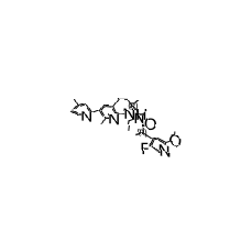 CCN(C[C@@]1(C)CCc2cc(-c3cc(C)ccn3)c(C)nc2N1)C(=O)[C@H](C)c1cc(OC)ncc1F